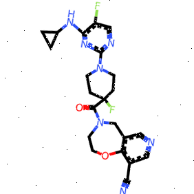 N#Cc1cncc2c1OCCN(C(=O)C1(F)CCN(c3ncc(F)c(NC4CC4)n3)CC1)C2